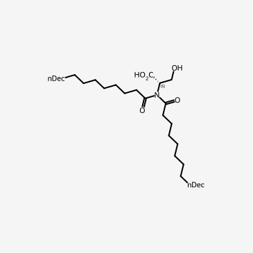 CCCCCCCCCCCCCCCCCC(=O)N(C(=O)CCCCCCCCCCCCCCCCC)[C@@H](CO)C(=O)O